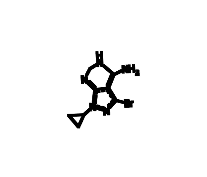 NC1=c2c(Br)nn(C3CC3)c2=NCN1